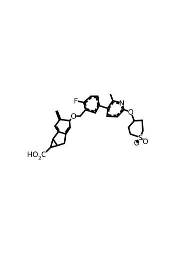 C=C1C=C2C(=CC1OCc1cc(-c3ccc(OC4CCS(=O)(=O)CC4)nc3C)ccc1F)CC1C(C(=O)O)C21